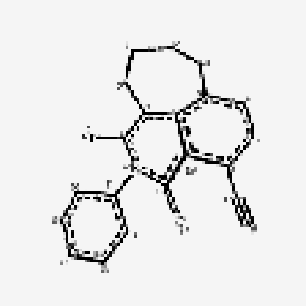 C#Cc1ccc2c3c(c(CC)n(-c4ccccc4)c(=O)c13)CCCC2